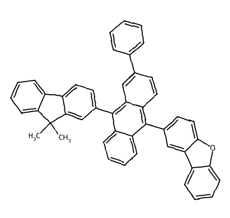 CC1(C)c2ccccc2-c2ccc(-c3c4ccccc4c(-c4ccc5oc6ccccc6c5c4)c4ccc(-c5ccccc5)cc34)cc21